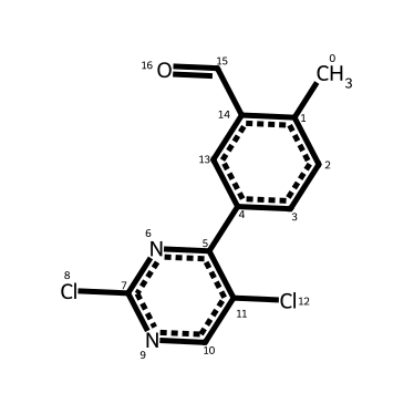 Cc1ccc(-c2nc(Cl)ncc2Cl)cc1C=O